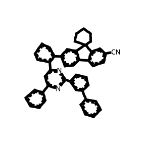 N#Cc1ccc2c(c1)C1(CCCCC1)c1cc(-c3ccccc3-c3cc(-c4ccccc4)nc(-c4cccc(-c5ccccc5)c4)n3)ccc1-2